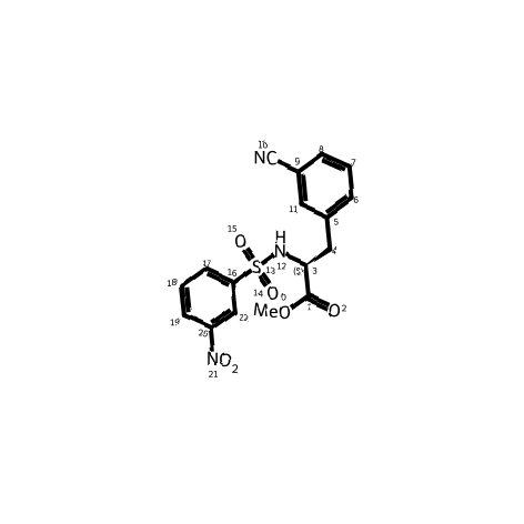 COC(=O)[C@H](Cc1cccc(C#N)c1)NS(=O)(=O)c1cccc([N+](=O)[O-])c1